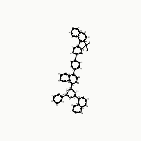 CC1(C)c2cc(-c3ccc(-c4ccc(-c5nc(-c6ccccc6)cc(-c6cccc7ccccc67)n5)c5ccccc45)cc3)ccc2-c2c1ccc1ccccc21